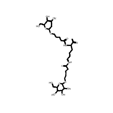 CC(=O)C(CCCCNC(=O)CCCCOC1OC(CO)C(O)C(O)C1O)NC(=O)CCCCOC1CC(O)C(O)C(CO)O1